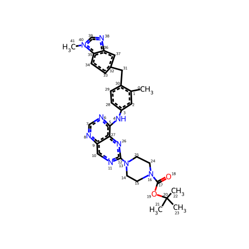 Cc1cc(Nc2ncnc3cnc(N4CCN(C(=O)OC(C)(C)C)CC4)nc23)ccc1Cc1ccc2c(c1)ncn2C